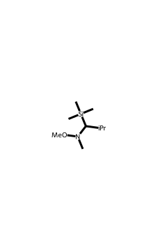 CON(C)C(C(C)C)[Si](C)(C)C